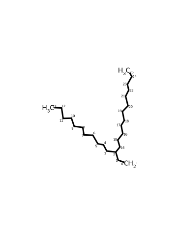 [CH2]CC(CCCCCCCCCCC)CCCCCCCCCCCC